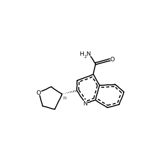 NC(=O)c1cc([C@@H]2CCOC2)nc2ccccc12